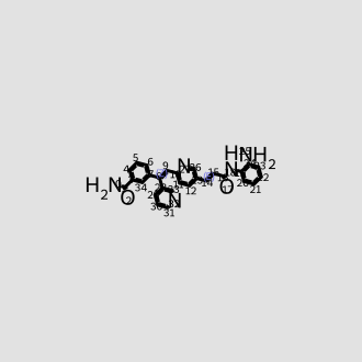 NC(=O)c1cccc(/C(=C/c2ccc(/C=C/C(=O)Nc3ccccc3N)cn2)c2cccnc2)c1